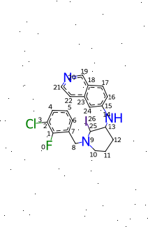 Fc1c(Cl)cccc1CN1CCCC(Nc2ccc3cnccc3c2)C1I